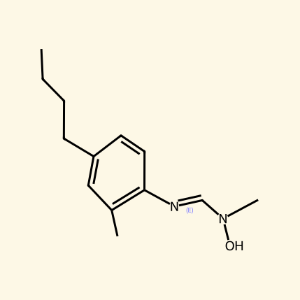 CCCCc1ccc(/N=C/N(C)O)c(C)c1